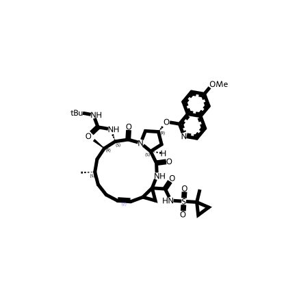 COc1ccc2c(O[C@@H]3C[C@H]4C(=O)NC5(C(=O)NS(=O)(=O)C6(C)CC6)CC5/C=C\CC[C@H](C)C[C@@H](C)[C@H](NC(=O)NC(C)(C)C)C(=O)N4C3)nccc2c1